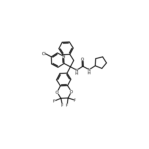 O=C(NC1CCCC1)NC(Cc1ccccc1)(c1ccc2c(c1)OC(F)(F)C(F)(F)O2)c1ccc(Cl)cn1